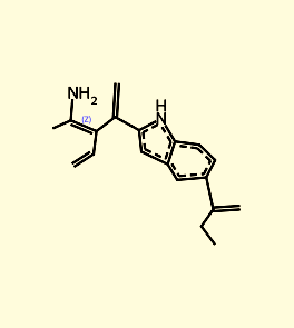 C=C/C(C(=C)c1cc2cc(C(=C)CC)ccc2[nH]1)=C(\C)N